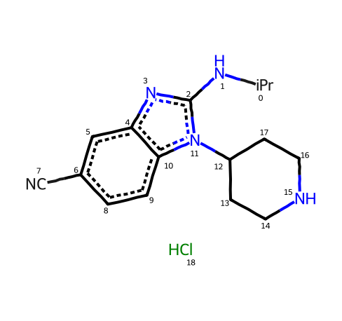 CC(C)Nc1nc2cc(C#N)ccc2n1C1CCNCC1.Cl